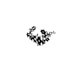 COC(=O)N[C@@H](C(=O)N1CCC[C@H]1c1ncc(-c2cc(F)c(N3CCC(c4cnc([C@@H]5CCCN5C(=O)CNC(=O)N5CCOCC5)[nH]4)CC3)c(F)c2)[nH]1)c1ccccc1